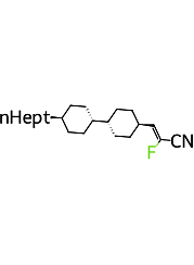 CCCCCCC[C@H]1CC[C@H]([C@H]2CC[C@H](C=C(F)C#N)CC2)CC1